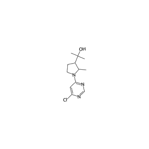 CC1C(C(C)(C)O)CCN1c1cc(Cl)ncn1